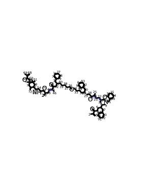 C=C(C)C(=O)CCC(CCN(Cc1ccccc1)C(=O)/C(C)=C/C=C(\C)C(=O)CC[C@H](CCCCOCCCCCC(CC(=O)/C(C)=C/CC(C)C(=O)CCC(N)C1CC(C)(C)C(C)(CC(=O)C(=C)C)CC1C)Cc1ccccc1)Cc1ccccc1)Cc1ccccc1